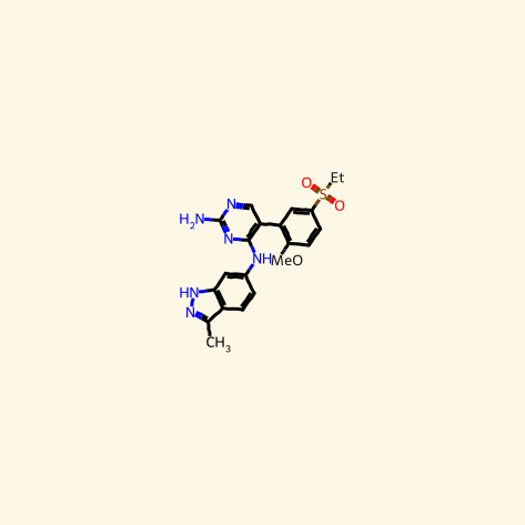 CCS(=O)(=O)c1ccc(OC)c(-c2cnc(N)nc2Nc2ccc3c(C)n[nH]c3c2)c1